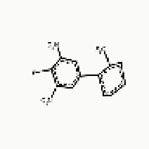 O=[N+]([O-])c1cc(-c2ccccc2C(F)(F)F)cc([N+](=O)[O-])c1F